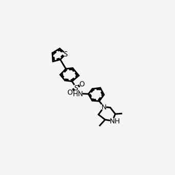 CC1CN(c2cccc(NS(=O)(=O)c3ccc(-c4cccs4)cc3)c2)CC(C)N1